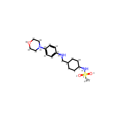 CC(C)S(=O)(=O)NC1CCC(CNc2ccc(N3CCOCC3)cc2)CC1